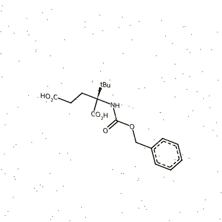 CC(C)(C)[C@@](CCC(=O)O)(NC(=O)OCc1ccccc1)C(=O)O